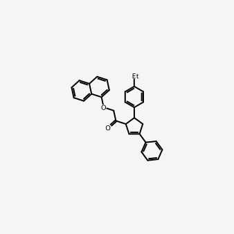 CCc1ccc(C2CC(c3ccccc3)=CC2C(=O)COc2cccc3ccccc23)cc1